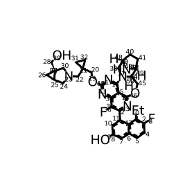 CCc1c(F)ccc2cc(O)cc(-c3nc4c5c(nc(OCC6(CN7CC8C[C@]8(CO)C7)CC6)nc5c3F)N3C[C@@H]5CC[C@@H](N5)[C@H]3CO4)c12